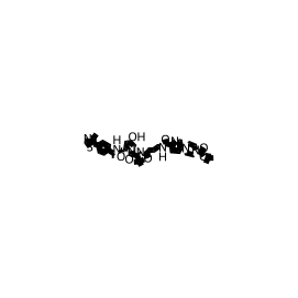 Cc1ncsc1-c1ccc([C@H](C)NC(=O)[C@@H]2C[C@@H](O)CN2C(=O)[C@@H](NC(=O)CCCNC(=O)c2ccc(N3CCN(C(=O)OC(C)(C)C)CC3)cn2)C(C)(C)C)cc1